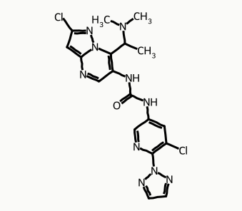 CC(c1c(NC(=O)Nc2cnc(-n3nccn3)c(Cl)c2)cnc2cc(Cl)nn12)N(C)C